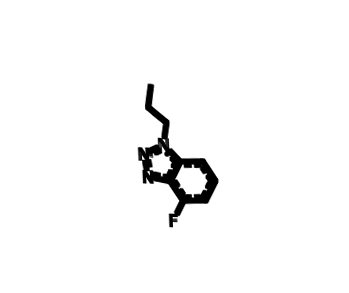 CCCn1nnc2c(F)cccc21